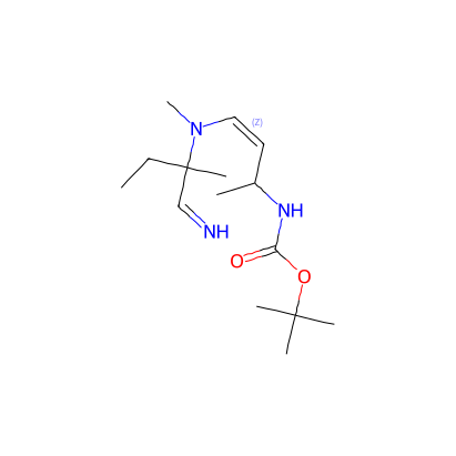 CCC(C)(C=N)N(C)/C=C\C(C)NC(=O)OC(C)(C)C